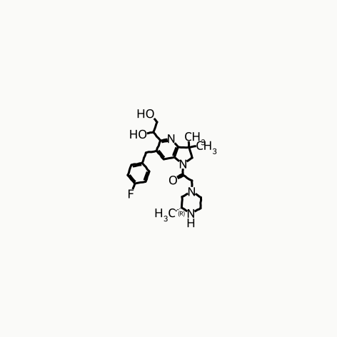 C[C@@H]1CN(CC(=O)N2CC(C)(C)c3nc(C(O)CO)c(Cc4ccc(F)cc4)cc32)CCN1